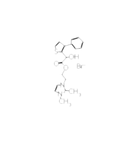 Cc1n(CCOC(=O)C(O)c2sccc2-c2ccccc2)cc[n+]1C.[Br-]